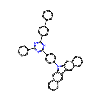 c1ccc(-c2ccc(-c3nc(-c4ccccc4)nc(-c4ccc(-n5c6cc7ccccc7cc6c6cc7ccccc7cc65)cc4)n3)cc2)cc1